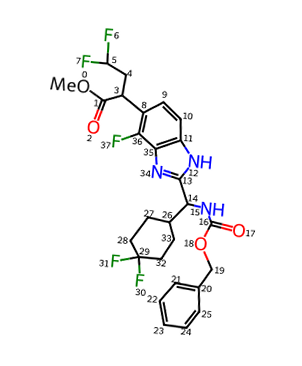 COC(=O)C(CC(F)F)c1ccc2[nH]c(C(NC(=O)OCc3ccccc3)C3CCC(F)(F)CC3)nc2c1F